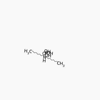 CCCCCCCCNCCCCCCCC.O=P(O)(O)O